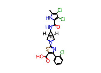 Cc1[nH]c(C(=O)NC2[C@H]3CN(c4nc(-c5ccccc5Cl)c(C(=O)O)s4)C[C@@H]23)c(Cl)c1Cl